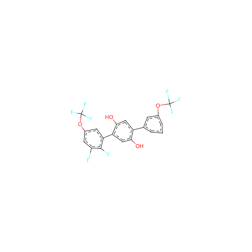 Oc1cc(-c2cc(OC(F)(F)F)cc(F)c2F)c(O)cc1-c1cccc(OC(F)(F)F)c1